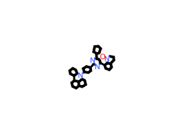 c1ccc2c(c1)-c1cccc3cccc(c13)N2c1ccc(-c2nc(-c3cccc4cccnc34)c3oc4ccccc4c3n2)cc1